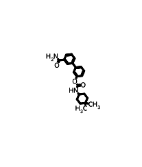 CC1(C)CCC(NC(=O)Oc2cccc(-c3cccc(C(N)=O)c3)c2)CC1